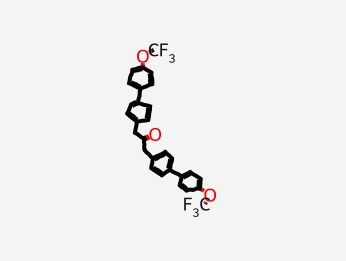 O=C(Cc1ccc(-c2ccc(OC(F)(F)F)cc2)cc1)Cc1ccc(-c2ccc(OC(F)(F)F)cc2)cc1